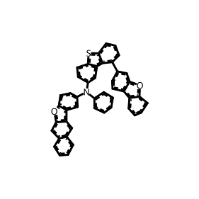 c1ccc(N(c2ccc3oc4cc5ccccc5cc4c3c2)c2ccc3sc4cccc(-c5ccc6c(c5)oc5ccccc56)c4c3c2)cc1